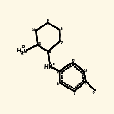 Cc1ccc(NC2CCCCC2N)cc1